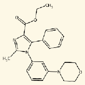 CCOC(=O)c1nc(C)n(-c2cccc(N3CCOCC3)c2)c1-c1ccccc1